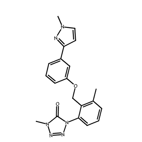 Cc1cccc(-n2nnn(C)c2=O)c1COc1cccc(-c2ccn(C)n2)c1